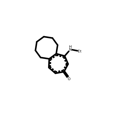 CCNc1cc(=O)ccc2c1CCCCCC2